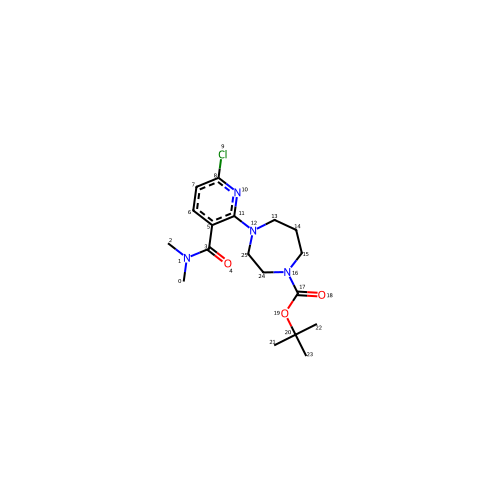 CN(C)C(=O)c1ccc(Cl)nc1N1CCCN(C(=O)OC(C)(C)C)CC1